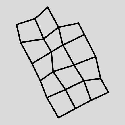 C1C2CC34CC5C6C7CC8C9CC%10C%11C%12C1C23C%121C54C62C87C9%10C%1112